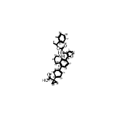 CC(OC(=O)Nc1cnoc1-c1ccc(-c2ccc(C3(C(=O)O)CC3)cc2)c2c1NCCC2)c1ccccc1